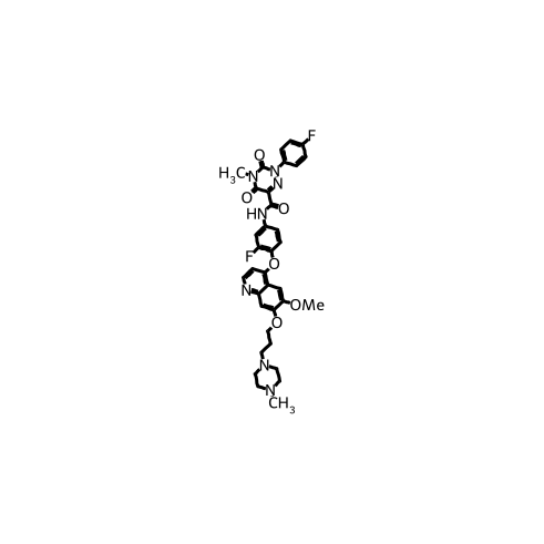 COc1cc2c(Oc3ccc(NC(=O)c4nn(-c5ccc(F)cc5)c(=O)n(C)c4=O)cc3F)ccnc2cc1OCCCN1CCN(C)CC1